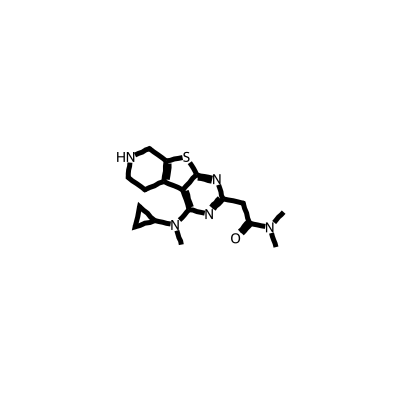 CN(C)C(=O)Cc1nc(N(C)C2CC2)c2c3c(sc2n1)CNCC3